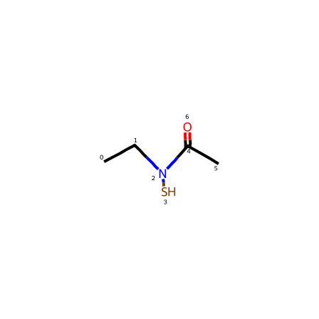 CCN(S)C(C)=O